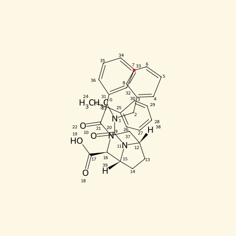 CN(Cc1ccccc1)C(=O)N1[C@H]2CC[C@@H]1[C@@H](C(=O)O)N(C(=O)C(C)(c1ccccc1)c1ccccc1)C2